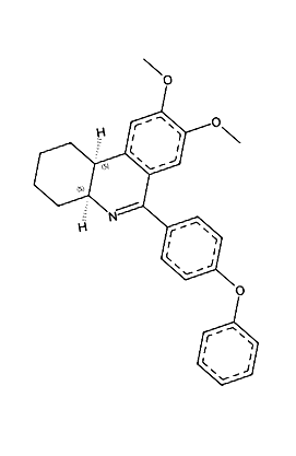 COc1cc2c(cc1OC)[C@@H]1CCCC[C@@H]1N=C2c1ccc(Oc2ccccc2)cc1